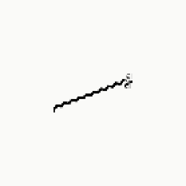 C[Si](Cl)(Cl)CCCCCCCCCCCCCCCCCCCI